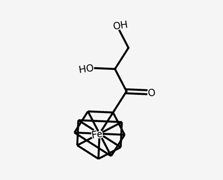 O=C(C(O)CO)[C]12[CH]3[CH]4[CH]5[CH]1[Fe]45321678[CH]2[CH]1[CH]6[CH]7[CH]28